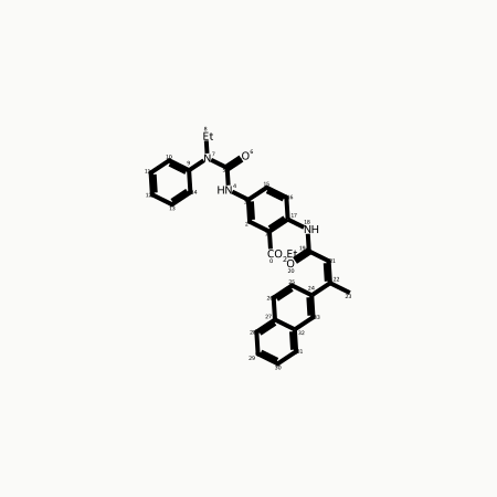 CCOC(=O)c1cc(NC(=O)N(CC)c2ccccc2)ccc1NC(=O)/C=C(/C)c1ccc2ccccc2c1